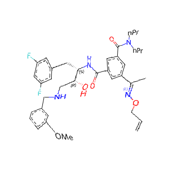 C=CCO/N=C(\C)c1cc(C(=O)N[C@@H](Cc2cc(F)cc(F)c2)[C@H](O)CNCc2cccc(OC)c2)cc(C(=O)N(CCC)CCC)c1